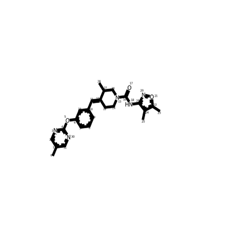 Cc1cnc(Oc2cccc(/C=C3\CCN(C(=O)Nc4noc(C)c4C)CC3C)c2)nc1